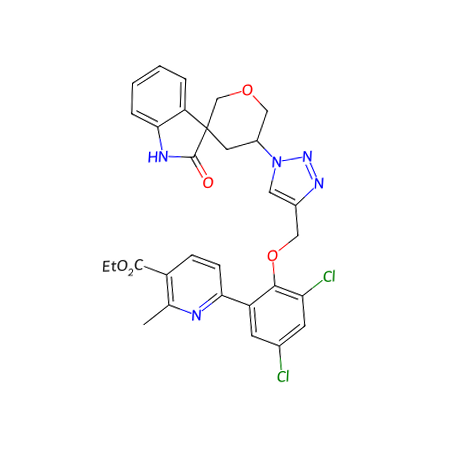 CCOC(=O)c1ccc(-c2cc(Cl)cc(Cl)c2OCc2cn(C3COCC4(C3)C(=O)Nc3ccccc34)nn2)nc1C